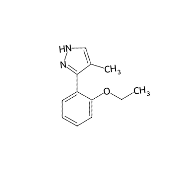 CCOc1ccccc1-c1n[nH]cc1C